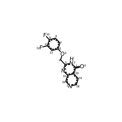 O=c1[nH]c(COc2ccc(F)c(F)c2)nc2cnccc12